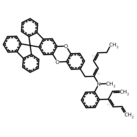 C=C/C=C(\C=C)c1ccccc1N(C)/C(=C/C=C\CC)Cc1ccc2c(c1)Oc1cc3c(cc1O2)-c1ccccc1C31c2ccccc2-c2ccccc21